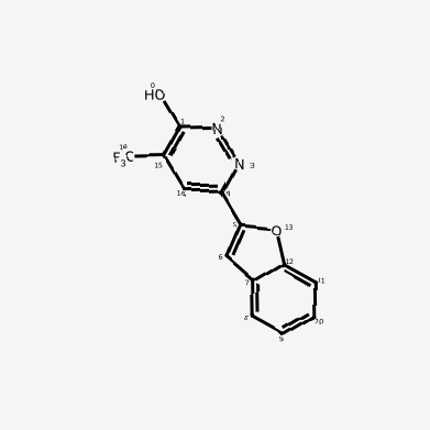 Oc1nnc(-c2cc3ccccc3o2)cc1C(F)(F)F